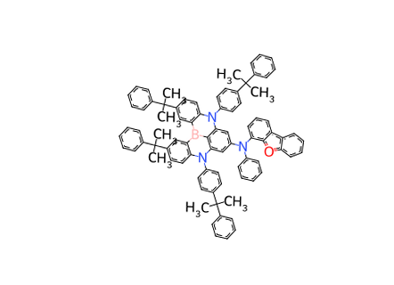 CC(C)(c1ccccc1)c1ccc(N2c3ccc(C(C)(C)c4ccccc4)cc3B3c4cc(C(C)(C)c5ccccc5)ccc4N(c4ccc(C(C)(C)c5ccccc5)cc4)c4cc(N(c5ccccc5)c5cccc6c5oc5ccccc56)cc2c43)cc1